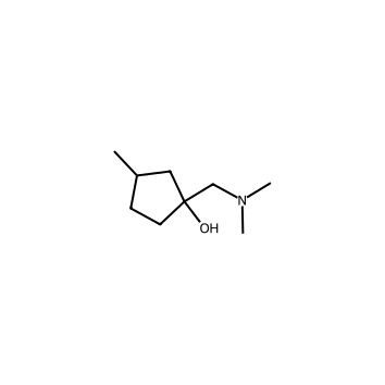 CC1CCC(O)(CN(C)C)C1